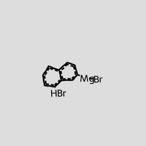 Br.[Br][Mg][c]1ccc2ccccc2c1